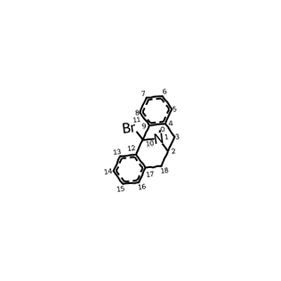 CN1C2Cc3ccccc3C1(Br)c1ccccc1C2